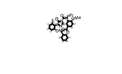 CCCN(C(=O)n1nnn(-c2c(F)cccc2OC)c1=O)c1cc(C(=O)OCc2ccccc2)ccc1OC